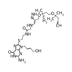 C#CCC(C)(C)OCCC(C)(C)OC/C(=C/NCC(=O)NCCSc1nc2c(=O)[nH]c(N)nc2n1CC=CCO)N=N